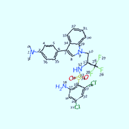 CN(C)c1ccc(-c2cn(CC(NS(=O)(=O)c3c(N)cc(Cl)cc3Cl)C(F)(F)F)c3ccccc23)cc1